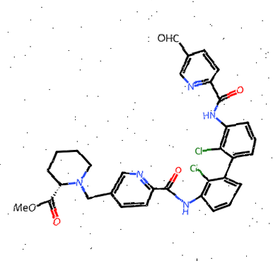 COC(=O)[C@@H]1CCCCN1Cc1ccc(C(=O)Nc2cccc(-c3cccc(NC(=O)c4ccc(C=O)cn4)c3Cl)c2Cl)nc1